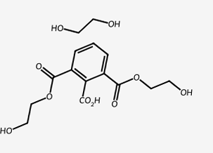 O=C(OCCO)c1cccc(C(=O)OCCO)c1C(=O)O.OCCO